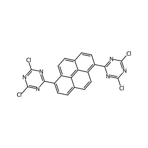 Clc1nc(Cl)nc(-c2ccc3ccc4c(-c5nc(Cl)nc(Cl)n5)ccc5ccc2c3c54)n1